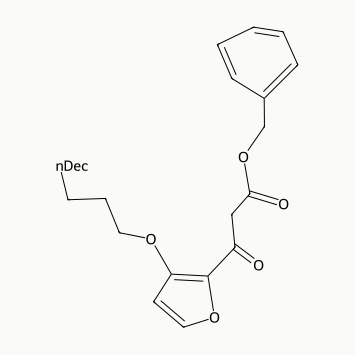 CCCCCCCCCCCCCOc1ccoc1C(=O)CC(=O)OCc1ccccc1